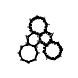 c1cccc2c(cc1)oc1cccccc3c1p2C1CCCCCCC1O3